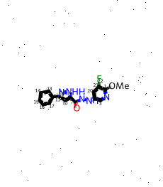 COc1ncc(NNC(=O)c2cc(-c3ccccc3)n[nH]2)cc1F